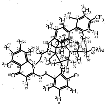 [2H]c1c([2H])c(F)c(F)c(CSc2c([2H])c(=O)c3c([2H])c([2H])c([2H])c([2H])c3n2CC(=O)N(Cc2c([2H])c([2H])c(-c3c([2H])c([2H])c(C(F)(F)F)c(C)c3[2H])c([2H])c2[2H])C2([2H])C([2H])([2H])C([2H])([2H])N(C([2H])([2H])C([2H])([2H])OC)C([2H])([2H])C2([2H])[2H])c1[2H]